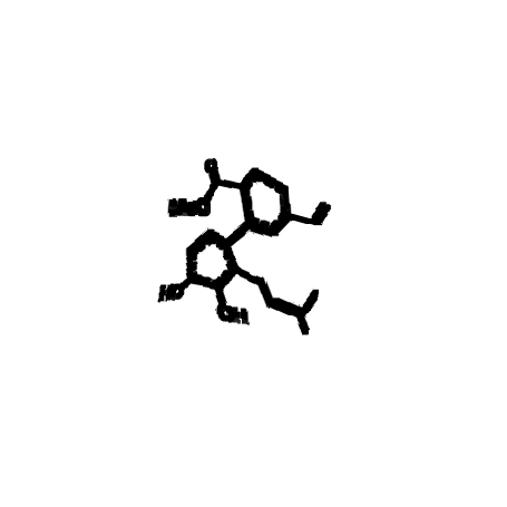 C=Cc1ccc(C(=O)OC)c(-c2ccc(O)c(O)c2CC=C(C)C)c1